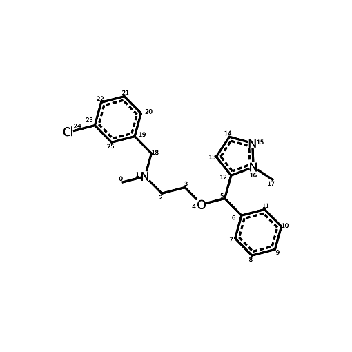 CN(CCOC(c1ccccc1)c1ccnn1C)Cc1cccc(Cl)c1